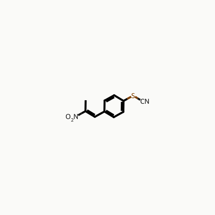 CC(=Cc1ccc(SC#N)cc1)[N+](=O)[O-]